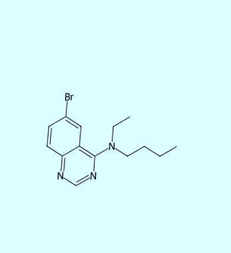 CCCCN(CC)c1ncnc2ccc(Br)cc12